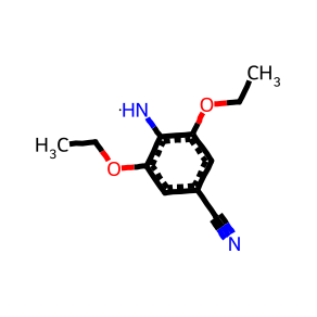 CCOc1cc(C#N)cc(OCC)c1[NH]